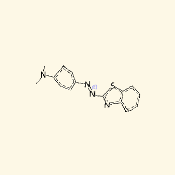 CN(C)c1ccc(/N=N/c2nc3ccccc3s2)cc1